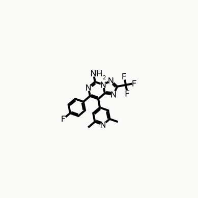 Cc1cc(-c2c(-c3ccc(F)cc3)nc(N)n3nc(C(F)(F)F)nc23)cc(C)n1